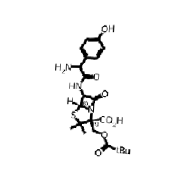 CC(C)(C)C(=O)OC[C@@]1(C(=O)O)N2C(=O)C(NC(=O)C(N)c3ccc(O)cc3)[C@H]2SC1(C)C